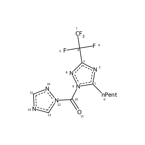 CCCCCc1nc(C(F)(F)C(F)(F)F)nn1C(=O)n1cncn1